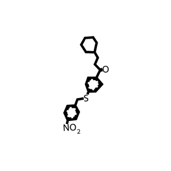 O=C(CCC1CCCCC1)c1ccc(SCc2ccc([N+](=O)[O-])cc2)cc1